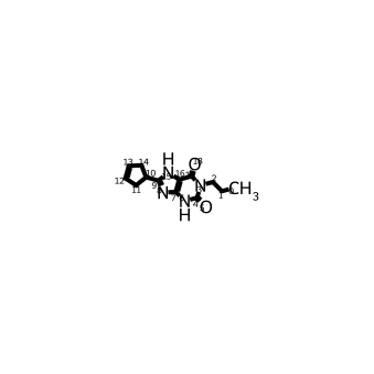 CCCn1c(=O)[nH]c2nc(C3CC=CC3)[nH]c2c1=O